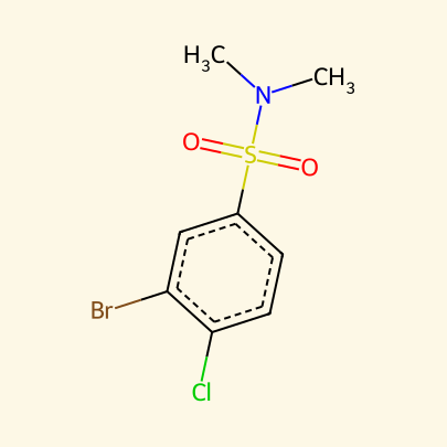 CN(C)S(=O)(=O)c1ccc(Cl)c(Br)c1